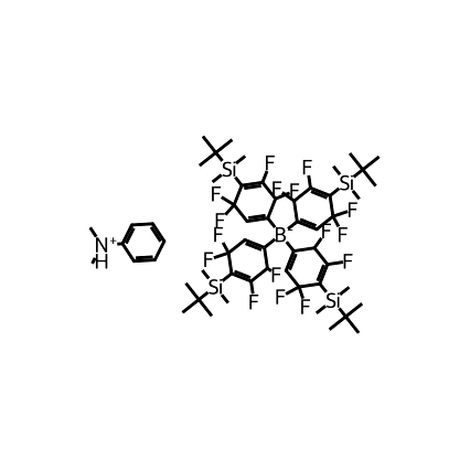 CC(C)(C)[Si](C)(C)C1=C(F)C(F)C([B-](C2=CC(F)(F)C([Si](C)(C)C(C)(C)C)=C(F)C2F)(C2=CC(F)(F)C([Si](C)(C)C(C)(C)C)=C(F)C2F)C2=CC(F)(F)C([Si](C)(C)C(C)(C)C)=C(F)C2F)=CC1(F)F.C[NH+](C)c1ccccc1